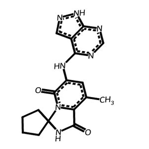 Cc1cc(Nc2ncnc3[nH]ncc23)c(=O)n2c1C(=O)NC21CCCC1